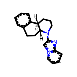 [c]1ccn2cc(N3CCC[C@H]4c5ccccc5CC[C@H]43)nc2c1